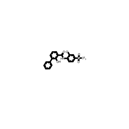 O=C(Nc1ccc(S(=O)(=O)C(F)(F)F)cc1Cl)c1cccc(-c2ccccc2)c1O